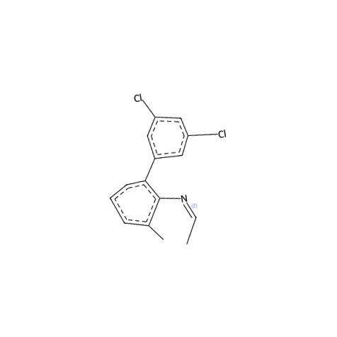 C/C=N\c1c(C)cccc1-c1cc(Cl)cc(Cl)c1